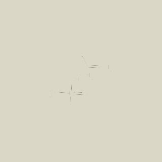 C=CCl.O.O=P(O)(O)O